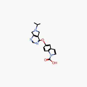 CC(C)N1Cc2ncnc(Oc3ccc4c(ccn4C(=O)O)c3)c2C1